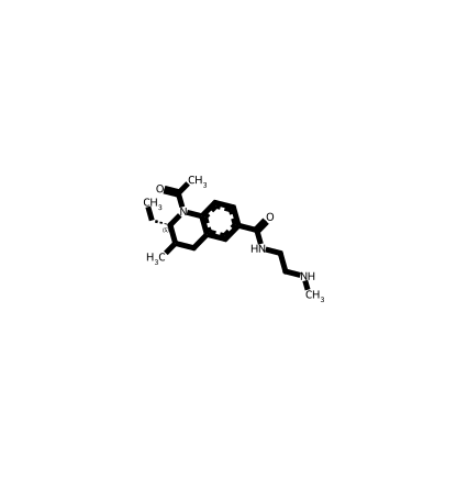 CC[C@H]1C(C)Cc2cc(C(=O)NCCNC)ccc2N1C(C)=O